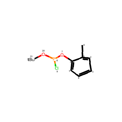 Cc1ccccc1OP(Cl)OC(C)(C)C